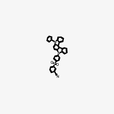 N#Cc1cccc(S(=O)(=O)c2ccc(-n3c4ccccc4c4c5c6ccccc6n(-c6ccccc6)c5ccc43)cc2)c1